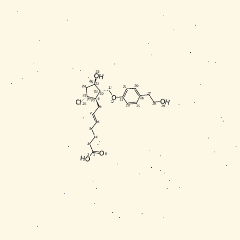 O=C(O)CCCC=CC[C@@H]1[C@@H](COc2ccc(CCO)cc2)[C@H](O)C[C@H]1Cl